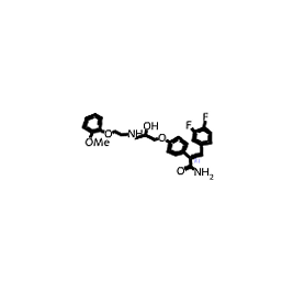 COc1ccccc1OCCNCC(O)COc1ccc(/C(=C\c2ccc(F)c(F)c2)C(N)=O)cc1